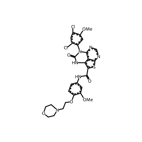 COc1cc(N2C(=O)Nc3c(C(=O)Nc4ccc(OCCN5CCOCC5)c(OC)c4)sc4ncnc2c34)c(Cl)cc1Cl